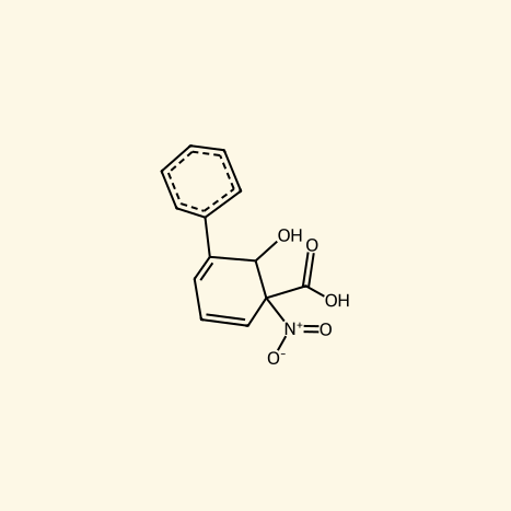 O=C(O)C1([N+](=O)[O-])C=CC=C(c2ccccc2)C1O